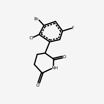 O=C1CCC(c2cc(F)cc(Br)c2Cl)C(=O)N1